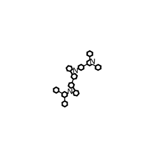 c1ccc(-c2cc(-c3ccccc3)cc(-n3c4ccccc4c4cc(-c5ccc6c(c5)c5ccccc5n6-c5ccc(-c6cc(-c7ccccc7)nc(-c7ccccc7)c6)cc5)ccc43)c2)cc1